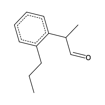 CCCc1ccccc1C(C)C=O